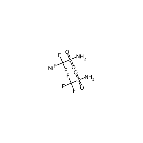 NS(=O)(=O)C(F)(F)F.NS(=O)(=O)C(F)(F)F.[Ni]